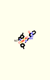 Cc1ccc(S(=O)(=O)n2c(C#N)cc3cc(C)cc(S(=O)(=O)N(C)CC(=O)Nc4cc(=O)n5c(n4)CCCC5)c32)cc1